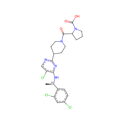 C[C@@H](Nc1nc(C2CCN(C(=O)C3CCCN3C(=O)O)CC2)ncc1Cl)c1ccc(Cl)cc1Cl